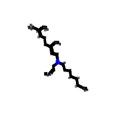 C=CCN(C/C=C(\C)CCC=C(C)C)CCCCCCC